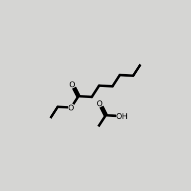 CC(=O)O.CCCCCCC(=O)OCC